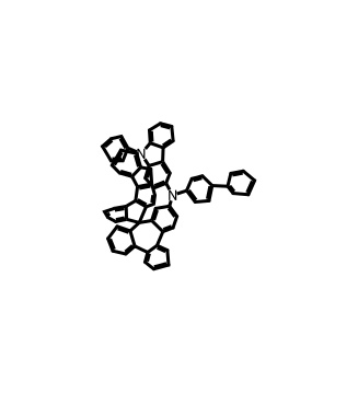 c1ccc(-c2ccc(N(c3ccc4c(c3)C3(c5ccccc5-c5ccccc5-4)c4ccccc4-c4c3ccc3c4-c4ccccc4C3)c3ccc4c(c3)c3ccccc3n4-c3ccccc3)cc2)cc1